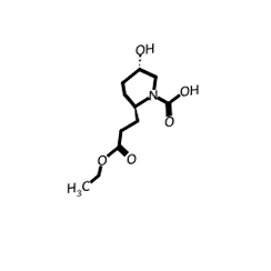 CCOC(=O)CC[C@H]1CC[C@H](O)CN1C(=O)O